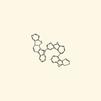 C1=Cc2c(oc3cccc(-c4cccc5sc6ccc(-n7c8c(c9ccccc97)C=CC7c9ccccc9SC87)cc6c45)c23)CC1